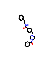 O=C(NCCc1ccccc1)c1ccc(CN2CCN(C(=O)C3CCCCC3)CC2)cc1